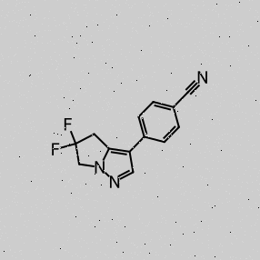 N#Cc1ccc(-c2cnn3c2CC(F)(F)C3)cc1